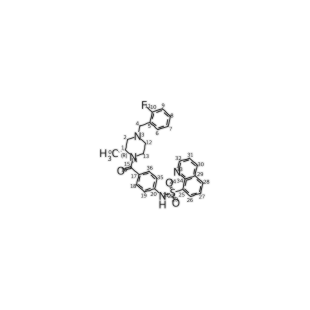 C[C@@H]1CN(Cc2ccccc2F)CCN1C(=O)c1ccc(NS(=O)(=O)c2cccc3cccnc23)cc1